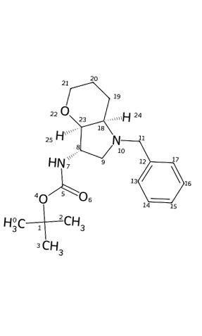 CC(C)(C)OC(=O)N[C@H]1CN(Cc2ccccc2)[C@@H]2CCCO[C@H]12